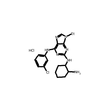 CCn1cnc2c(Nc3cccc(Cl)c3)nc(NC3CCCCC3N)nc21.Cl